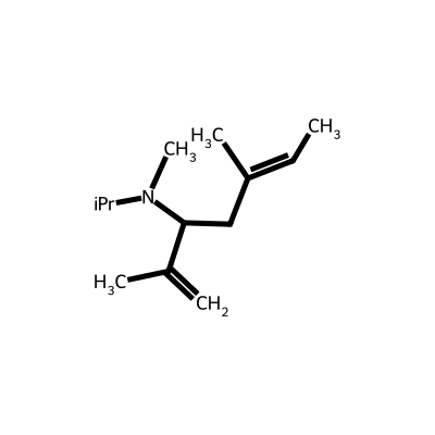 C=C(C)C(C/C(C)=C/C)N(C)C(C)C